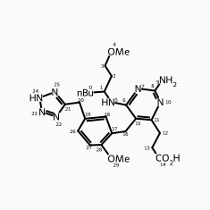 CCCCC(CCOC)Nc1nc(N)nc(CCC(=O)O)c1Cc1cc(Cc2nn[nH]n2)ccc1OC